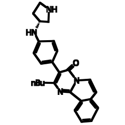 CCCCc1nc2c3ccccc3ccn2c(=O)c1-c1ccc(N[C@@H]2CCNC2)cc1